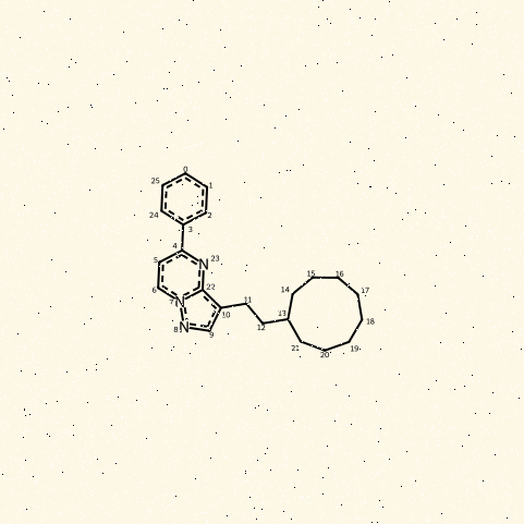 c1ccc(-c2ccn3ncc(CCC4CCCCCCCC4)c3n2)cc1